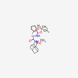 COC(=O)C12CC3CC(CC(C3)C1NC(=O)[C@H](Cc1ccccc1)NC(=O)OC(C)(C)C)C2